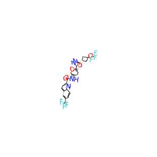 O=C(N[C@H]1CC[C@H](c2nnc([C@H]3C[C@@H](OC(F)(F)F)C3)o2)OC1)c1ccc2cc(C(F)(F)F)ccc2n1